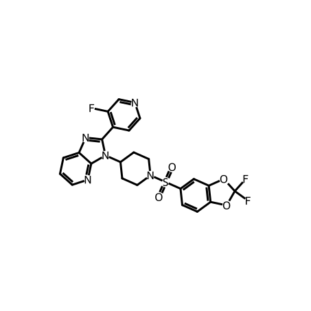 O=S(=O)(c1ccc2c(c1)OC(F)(F)O2)N1CCC(n2c(-c3ccncc3F)nc3cccnc32)CC1